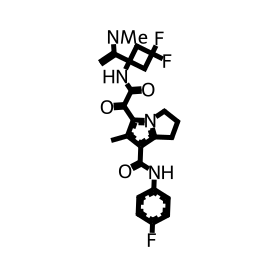 C=C(NC)C1(NC(=O)C(=O)c2c(C)c(C(=O)Nc3ccc(F)cc3)c3n2CCC3)CC(F)(F)C1